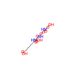 O=C(O)CCCCCCCCCCCCCCC(=O)N[C@@H](CCC(=O)NCCOCCOCC(=O)NCCOCCO)C(=O)O